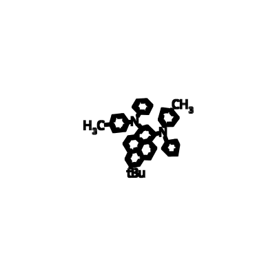 Cc1ccc(N(c2ccccc2)c2cc(N(c3ccccc3)c3ccc(C)cc3)c3ccc4cc(C(C)(C)C)cc5ccc2c3c54)cc1